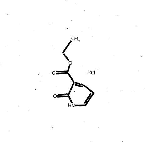 CCOC(=O)c1ccc[nH]c1=O.Cl